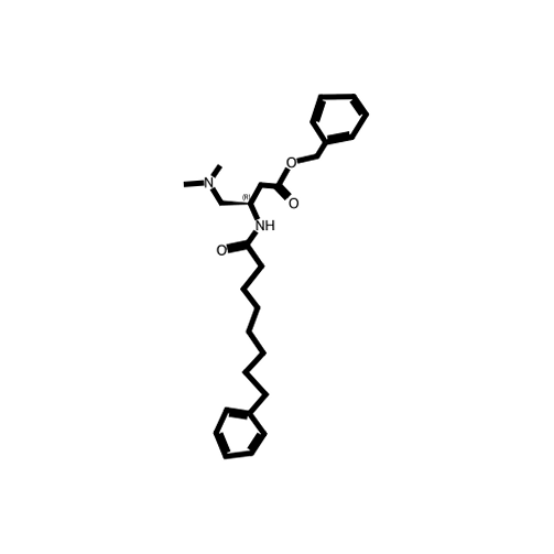 CN(C)C[C@@H](CC(=O)OCc1ccccc1)NC(=O)CCCCCCCc1ccccc1